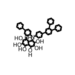 Bc1c(O)c(O)c(O)c2c(O)c(O)c(O)c(N(c3ccc(-c4ccccc4)cc3)c3ccc(-c4ccc(-c5ccccc5)c(-c5ccccc5)c4)cc3)c12